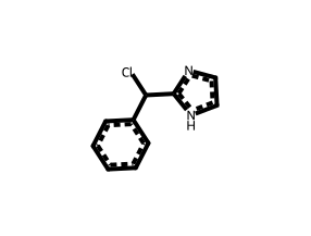 ClC(c1ccccc1)c1ncc[nH]1